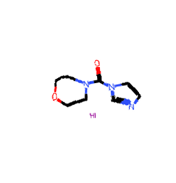 I.O=C(N1CCOCC1)n1ccnc1